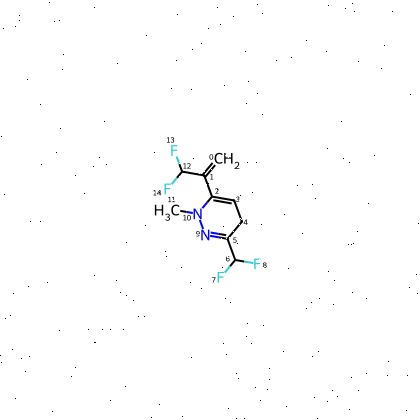 C=C(C1=CCC(C(F)F)=NN1C)C(F)F